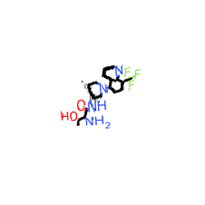 CC(O)C(N)C(=O)N[C@@H]1C[C@H](C)CN(c2ccc(C(F)(F)F)c3ncccc23)C1